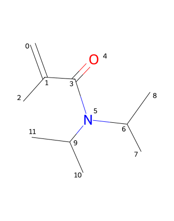 C=C(C)C(=O)N(C(C)C)C(C)C